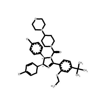 CCOc1cc(C(C)(C)C)ccc1C1=N[C@@H](C2C=CC(Cl)=CC2)[C@@H](c2ccc(Cl)cc2)N1C(=O)N1CCC(N2CCOCC2)CC1